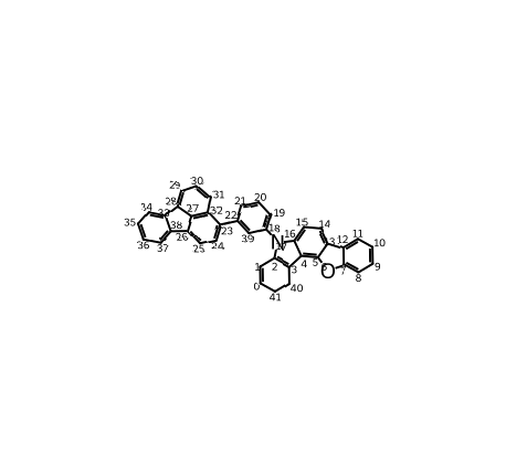 C1=Cc2c(c3c4oc5ccccc5c4ccc3n2-c2cccc(-c3ccc4c5c(cccc35)-c3ccccc3-4)c2)CC1